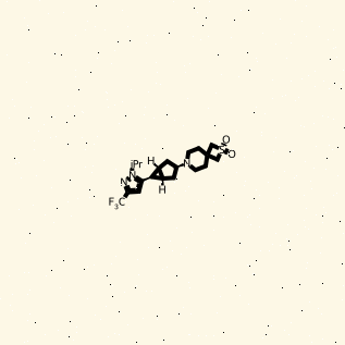 CC(C)n1nc(C(F)(F)F)cc1[C@H]1[C@@H]2C[C@@H](N3CCC4(CC3)CS(=O)(=O)C4)C[C@@H]21